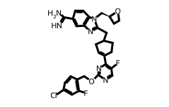 N=C(N)c1ccc2c(c1)nc(CC1CC=C(c3nc(OCc4ccc(Cl)cc4F)ncc3F)CC1)n2C[C@@H]1CCO1